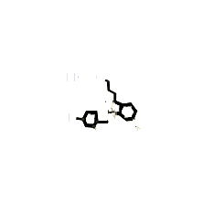 O=C(O)CCCc1nn(Cc2ccc(F)cc2F)c2cc(OC(F)(F)F)ccc12